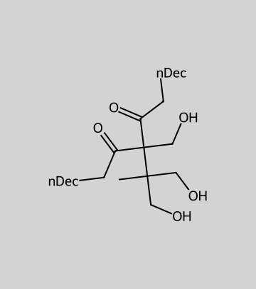 CCCCCCCCCCCC(=O)C(CO)(C(=O)CCCCCCCCCCC)C(C)(CO)CO